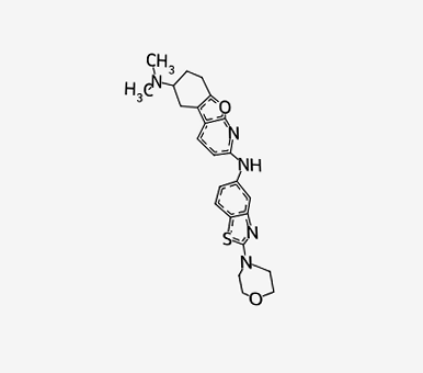 CN(C)C1CCc2oc3nc(Nc4ccc5sc(N6CCOCC6)nc5c4)ccc3c2C1